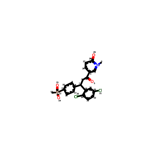 Cn1cc(C(=O)CC(c2ccc(S(C)(=O)=O)cc2)c2cc(Cl)ccc2Cl)ccc1=O